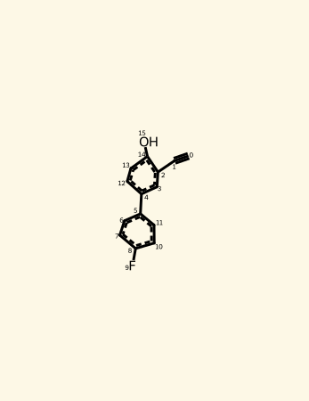 C#Cc1cc(-c2ccc(F)cc2)ccc1O